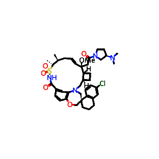 CO[C@]1(CC(=O)N2CC[C@@H](N(C)C)C2)/C=C/C[C@H](C)[C@@H](C)S(=O)(=O)NC(=O)c2ccc3c(c2)N(C[C@@H]2CC[C@H]21)C[C@@]1(CCCc2cc(Cl)ccc21)CO3